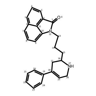 O=C1c2cccc3cccc(c23)N1CCCC1CC(c2ccccc2)=CCN1